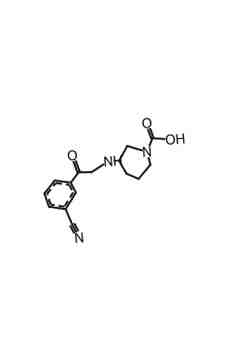 N#Cc1cccc(C(=O)CN[C@H]2CCCN(C(=O)O)C2)c1